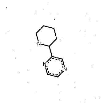 c1cnc(C2CCCC[N]2)cn1